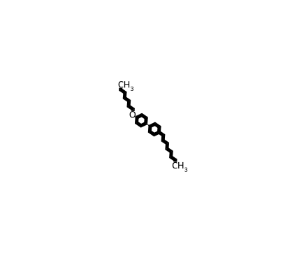 CCCCCCCCC1CCC([C@H]2CC[C@H](OCCCCCCC)CC2)CC1